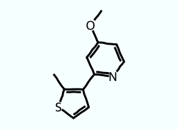 COc1ccnc(-c2ccsc2C)c1